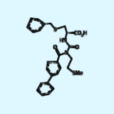 CSCCN(C(=O)N[C@@H](CSCc1ccccc1)C(=O)O)C(=O)c1ccc(-c2ccccc2)cc1